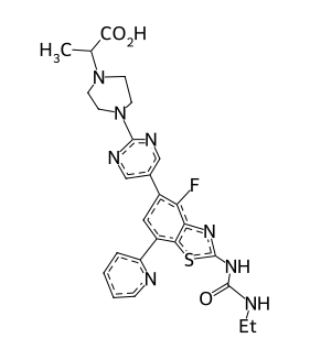 CCNC(=O)Nc1nc2c(F)c(-c3cnc(N4CCN(C(C)C(=O)O)CC4)nc3)cc(-c3ccccn3)c2s1